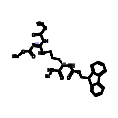 CCNC(=O)[C@H](CCCN/C(=N\C(=O)OC(C)(C)C)NC(=O)OC(C)(C)C)NC(=O)OCC1c2ccccc2-c2ccccc21